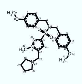 COc1ccc(CN(Cc2ccc(OC)cc2)S(=O)(=O)c2cc(CN3CCCC3)n(C)n2)cc1